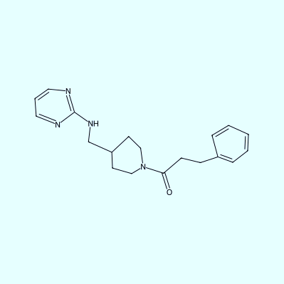 O=C(CCc1ccccc1)N1CCC(CNc2ncccn2)CC1